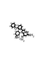 Nc1cc(N)c2nc(-c3cccc(Oc4ccccc4)c3[C@H]3CC[C@H](N)CC3)cn2n1